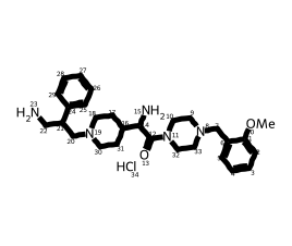 COc1ccccc1CN1CCN(C(=O)C(N)C2CCN(CC(CN)c3ccccc3)CC2)CC1.Cl